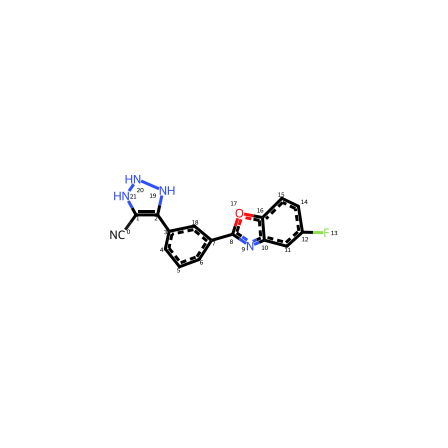 N#CC1=C(c2cccc(-c3nc4cc(F)ccc4o3)c2)NNN1